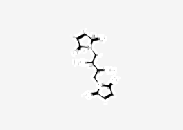 O=C1C=CC(=O)N1CC(O)C(O)CN1C(=O)C=CC1=O